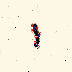 O=C1C=CC(=O)N1CC1CC2C3CC(Cn4c(=O)c5cc6c(=O)n(CN7C(=O)C=CC7=O)c(=O)c6cc5c4=O)C(C3)C2C1